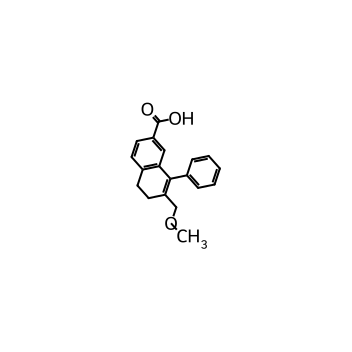 COCC1=C(c2ccccc2)c2cc(C(=O)O)ccc2CC1